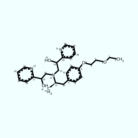 CCOCCOc1ccc(C[C@@H](C)N(CC(O)c2ccccn2)CC(O)c2ccccn2)cc1